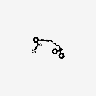 C[Si](C)(C)C#CC(=O)c1ccccc1C#CC#CCOC/C=C/C1CC1(c1ccccc1)c1ccccc1